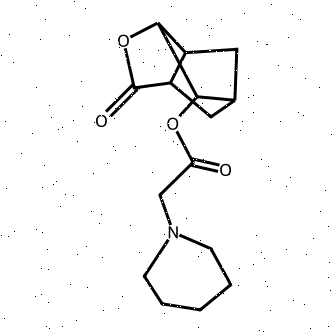 O=C(CN1CCCCC1)OC1C2CC3C(=O)OC1C3C2